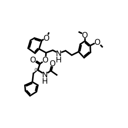 COc1ccc(CCNCC(OC(=O)[C@H](Cc2ccccc2)NC(C)=O)c2ccccc2OC)cc1OC